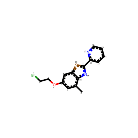 Cc1cc(OCCBr)cc2sc(-c3ccccn3)nc12